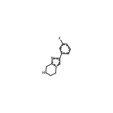 Fc1cccc(-c2cn3c(n2)CNCC3)c1